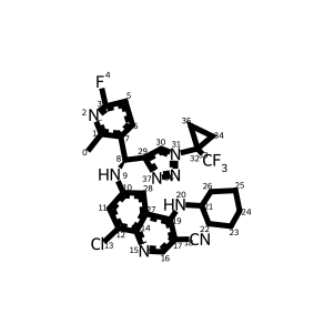 Cc1nc(F)ccc1[C@H](Nc1cc(Cl)c2ncc(C#N)c(NC3CCCCC3)c2c1)c1cn(C2(C(F)(F)F)CC2)nn1